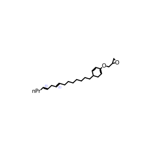 CCC/C=C/C/C=C/CCCCCCCC1C=CC(OCC2CO2)=CC1